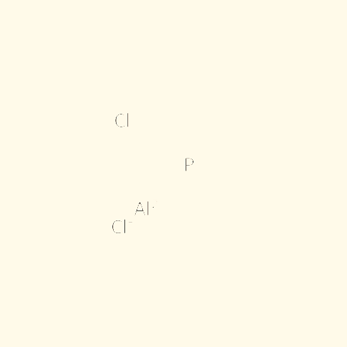 C[P](C)[Al+2].[Cl-].[Cl-]